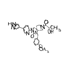 COc1cccc(CN2C(=O)N(c3ccc(-c4cn[nH]c4)cn3)CC23CCN(C(=O)C(C)O)CC3)c1